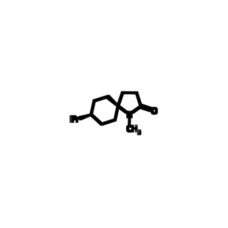 CC(C)[C@H]1CC[C@]2(CCC(=O)N2C)CC1